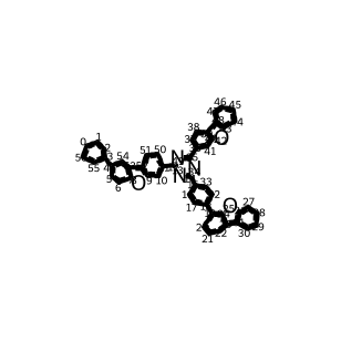 c1ccc(-c2ccc3oc4cc(-c5nc(-c6ccc(-c7cccc8c7oc7ccccc78)cc6)nc(-c6ccc7c(c6)oc6ccccc67)n5)ccc4c3c2)cc1